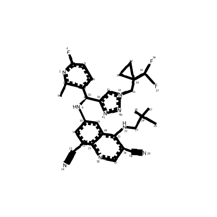 Cc1nc(F)ccc1[C@H](Nc1cc(C#N)c2ncc(C#N)c(NCC(C)(C)C)c2c1)c1cn(CC2(C(F)F)CC2)nn1